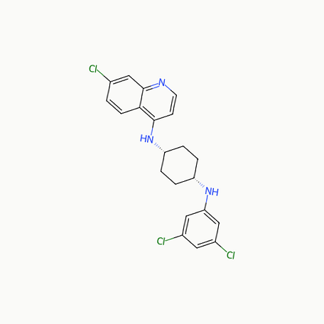 Clc1cc(Cl)cc(N[C@H]2CC[C@@H](Nc3ccnc4cc(Cl)ccc34)CC2)c1